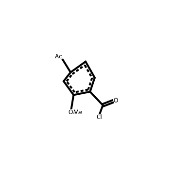 COc1cc(C(C)=O)ccc1C(=O)Cl